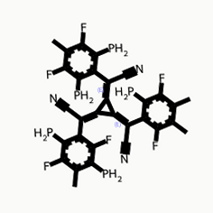 Cc1c(C)c(F)c(/C(C#N)=C2/C(=C(C#N)c3c(F)c(P)c(C)c(F)c3P)/C2=C(/C#N)c2c(P)c(F)c(C)c(F)c2P)c(P)c1F